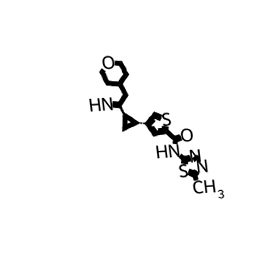 Cc1nnc(NC(=O)c2cc([C@@H]3C[C@H]3C(=N)CC3CCOCC3)cs2)s1